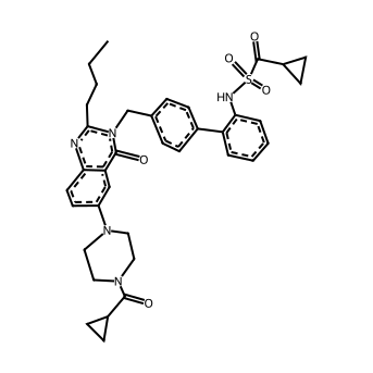 CCCCc1nc2ccc(N3CCN(C(=O)C4CC4)CC3)cc2c(=O)n1Cc1ccc(-c2ccccc2NS(=O)(=O)C(=O)C2CC2)cc1